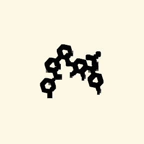 O=[SH](=O)N[C@@H](c1ccc(F)cc1)c1ccc(Oc2ncccc2-c2ccnc(N[C@H]3CCCNC3)n2)c(F)c1F